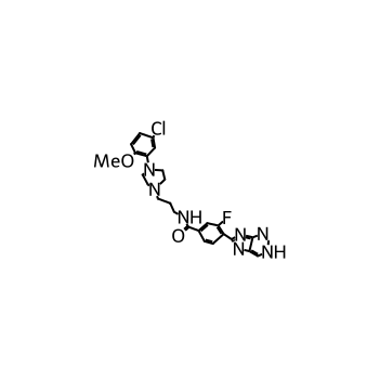 COc1ccc(Cl)cc1N1CCN(CCCNC(=O)c2ccc(-c3nc4c[nH]cnc-4n3)c(F)c2)CC1